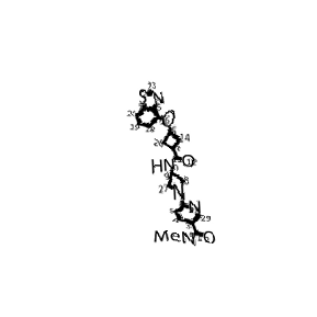 CNC(=O)c1ccc(N2CC(NC(=O)C3CC(Oc4cccc5scnc45)C3)C2)nc1